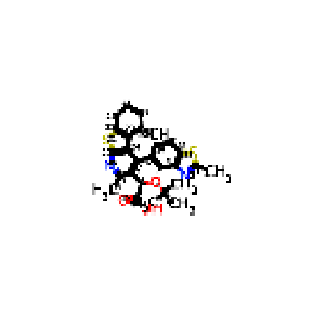 Cc1nc2cc(-c3c(C(OC(C)(C)C)C(=O)O)c(C)nc4sc5c(c34)[C@H](C)CCC5)ccc2s1